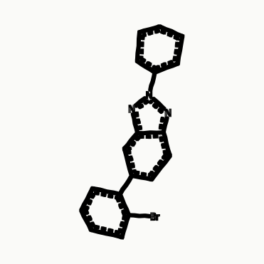 Brc1ccccc1-c1ccc2nn(-c3ccccc3)nc2c1